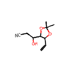 C=CC1OC(C)(C)OC1C(O)CC#N